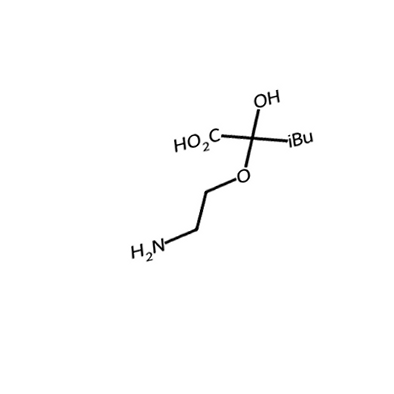 CCC(C)C(O)(OCCN)C(=O)O